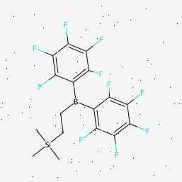 C[Si](C)(C)CCB(c1c(F)c(F)c(F)c(F)c1F)c1c(F)c(F)c(F)c(F)c1F